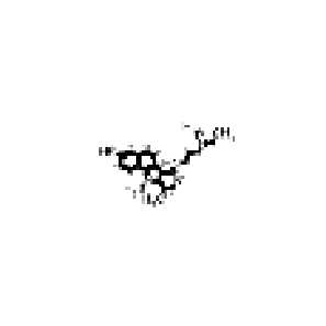 CCN(CC)CCCNc1ncc(C)c2c1c1ccc3cc(O)ccc3c1n2C